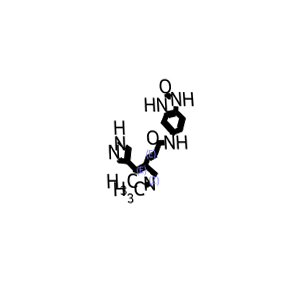 C\N=C/C(/C=C/C(=O)Nc1ccc2[nH]c(=O)[nH]c2c1)=C(\C)c1cn[nH]c1